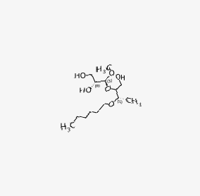 CCCCCCO[C@@H](C)C(CO)O[C@H](OC)[C@H](O)CO